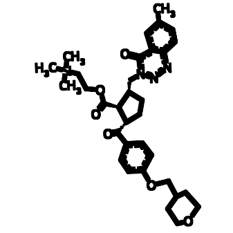 Cc1ccc2nnn(C[C@@H]3CC[C@H](C(=O)c4ccc(OCC5CCOCC5)cc4)[C@H]3C(=O)OCC[Si](C)(C)C)c(=O)c2c1